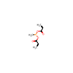 C=CC(=O)OP(C)OC(=O)C=C